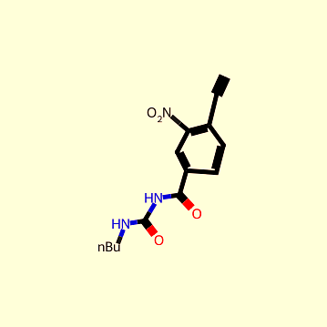 C#Cc1ccc(C(=O)NC(=O)NCCCC)cc1[N+](=O)[O-]